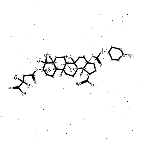 C=C(C)[C@@H]1CC[C@]2(CC(=O)N[C@H]3CC[C@H](N)CC3)CCC3(C)C(CC[C@@H]4[C@@]5(C)CC[C@H](OC(=O)CC(C)(C)C(=O)O)C(C)(C)[C@@H]5CC[C@]43C)[C@@H]12